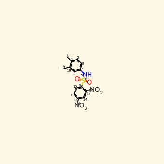 Cc1ccc(NS(=O)(=O)c2ccc([N+](=O)[O-])cc2[N+](=O)[O-])cc1C